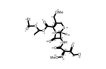 CCC(=O)OC(C)OC(=O)C1=C(COC)CS[C@@H]2C(NC(=O)/C(=N\OC)C(=O)CCl)C(=O)N12